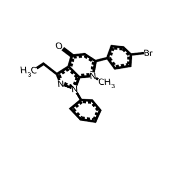 CCc1nn(-c2ccccc2)c2c1c(=O)cc(-c1ccc(Br)cc1)n2C